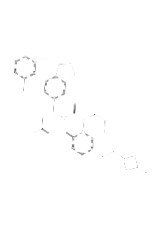 Cc1cc(F)cc(C)c1-c1cc([C@@H](CC(=O)O)NC(=O)[C@@H](CC(C)C)n2cc(CCN3CC(F)C3)cc(F)c2=O)cc2c1CCC2